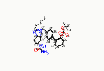 CCCCc1nc2ccc(NC(N)=O)cc2n1Cc1ccc(-c2ccccc2OC(=O)OC(C)(C)C)cc1